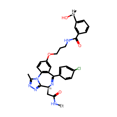 CCNC(=O)C[C@@H]1N=C(c2ccc(Cl)cc2)c2cc(OCCCNC(=O)c3cccc([SiH](C)O)c3)ccc2-n2c(C)nnc21